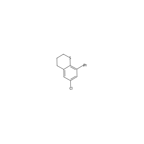 CC(C)c1cc(Cl)cc2c1SCCC2